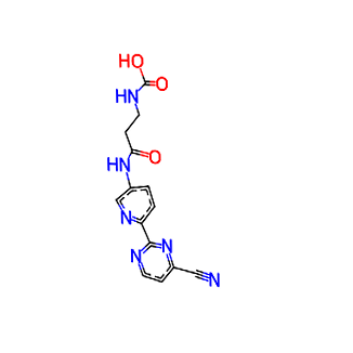 N#Cc1ccnc(-c2ccc(NC(=O)CCNC(=O)O)cn2)n1